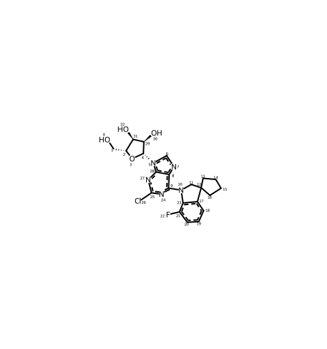 OC[C@H]1O[C@@H](n2cnc3c(N4CC5(CCCC5)c5cccc(F)c54)nc(Cl)nc32)[C@H](O)[C@@H]1O